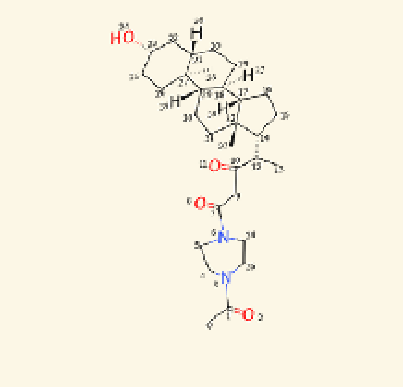 CC(=O)N1CCN(C(=O)CC(=O)C(C)[C@H]2CC[C@H]3[C@@H]4CC[C@H]5C[C@@H](O)CC[C@]5(C)[C@H]4CC[C@@]23C)CC1